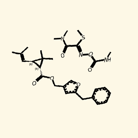 CC(C)=C[C@@H]1[C@@H](C(=O)OCc2coc(Cc3ccccc3)c2)C1(C)C.CNC(=O)ON=C(SC)C(=O)N(C)C